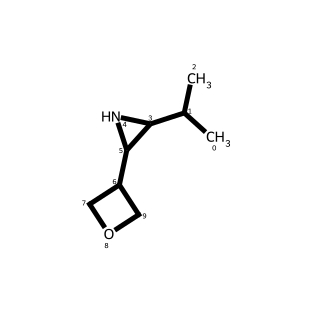 CC(C)C1NC1C1COC1